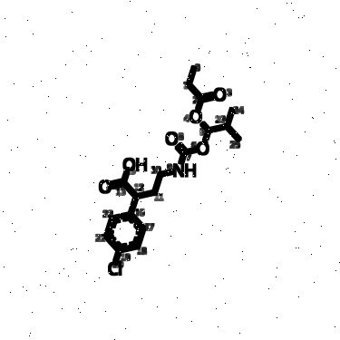 CCC(=O)OC(OC(=O)NCCC(C(=O)O)c1ccc(Cl)cc1)C(C)C